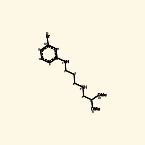 COC(CNCCCNc1cccc(Br)c1)OC